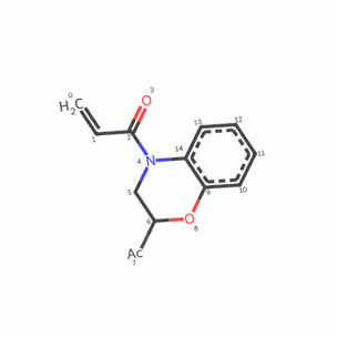 C=CC(=O)N1CC(C(C)=O)Oc2ccccc21